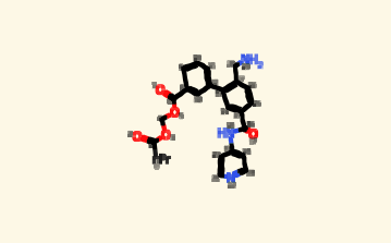 CCCC(=O)OCOC(=O)c1cccc(-c2cc(C(=O)Nc3ccncc3)ccc2CN)c1